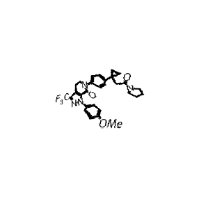 COc1ccc(-n2nc(C(F)(F)F)c3c2C(=O)N(c2ccc(C4(CC(=O)N5CCCC5)CC4)cc2)CC3)cc1